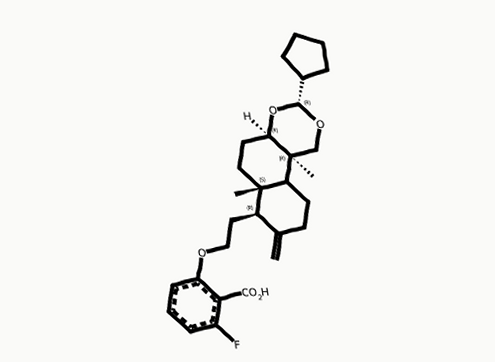 C=C1CCC2[C@]3(C)CO[C@@H](C4CCCC4)O[C@@H]3CC[C@@]2(C)[C@@H]1CCOc1cccc(F)c1C(=O)O